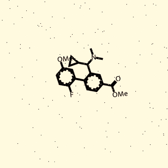 COC(=O)c1ccc(-c2cc(OC)ccc2F)c(C(C2CC2)N(C)C)c1